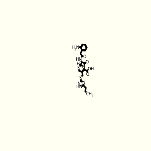 CCCc1nc(SCC2=C(C(=O)O)N3C(=O)C(NC(=O)Cc4ccccc4N)[C@H]3SC2)n[nH]1